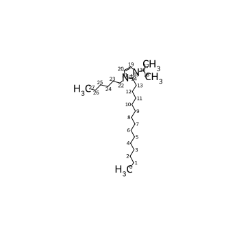 CCCCCCCCCCCCCCc1n(C(C)C)cc[n+]1CCCCCC